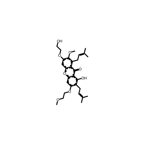 COCCOc1cc2oc3cc(OCCO)c(OC)c(CC=C(C)C)c3c(=O)c2c(O)c1CC=C(C)C